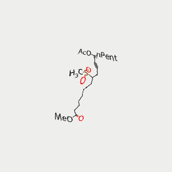 CCCCC[C@H](C#CCC(CCCCCCC(=O)OC)S(C)(=O)=O)OC(C)=O